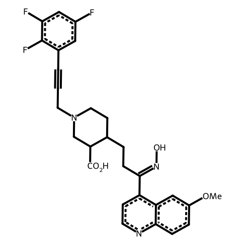 COc1ccc2nccc(C(CCC3CCN(CC#Cc4cc(F)cc(F)c4F)CC3C(=O)O)=NO)c2c1